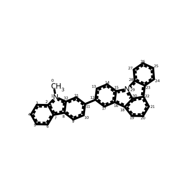 Cn1c2ccccc2c2ccc(-c3ccc4c(c3)c3cccc5c6ccccc6n4c53)cc21